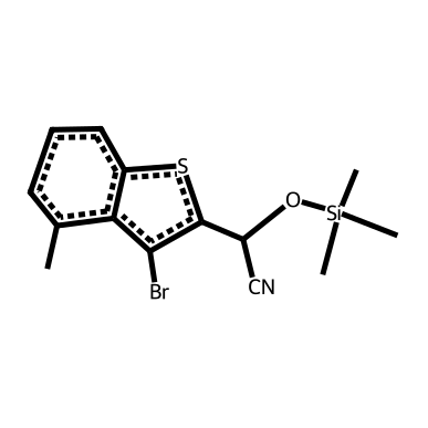 Cc1cccc2sc(C(C#N)O[Si](C)(C)C)c(Br)c12